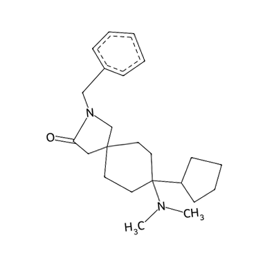 CN(C)C1(C2CCCC2)CCC2(CC1)CC(=O)N(Cc1ccccc1)C2